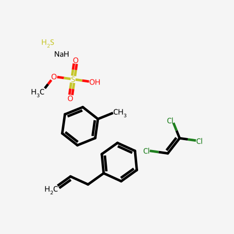 C=CCc1ccccc1.COS(=O)(=O)O.Cc1ccccc1.ClC=C(Cl)Cl.S.[NaH]